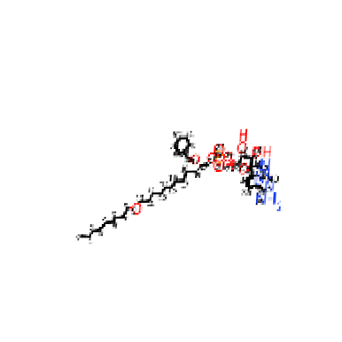 CCCCCCCCCOCCCCCCCCCC[C@H](COP(=O)(O)OC[C@H]1O[C@@](C#N)(c2ccc3c(N)ncnn23)C(O)[C@H]1O)OCC1CCCCC1